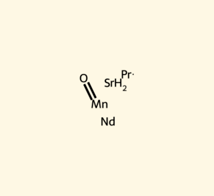 [Nd].[O]=[Mn].[Pr].[SrH2]